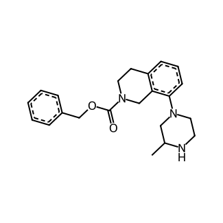 CC1CN(c2cccc3c2CN(C(=O)OCc2ccccc2)CC3)CCN1